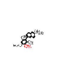 COc1ccc2cc(-c3c(C#N)cc(OC)c(O)c3C#N)ccc2c1